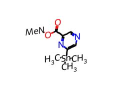 CNOC(=O)c1cnc[c]([Sn]([CH3])([CH3])[CH3])n1